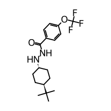 CC(C)(C)[C@H]1CC[C@H](NNC(=O)c2ccc(OC(F)(F)F)cc2)CC1